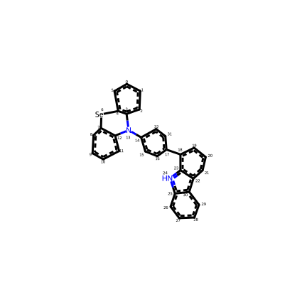 c1ccc2c(c1)[Se]c1ccccc1N2c1ccc(-c2cccc3c2[nH]c2ccccc23)cc1